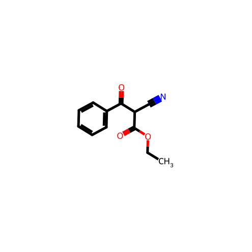 CCOC(=O)C(C#N)C(=O)c1ccccc1